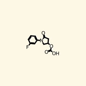 O=C(O)OC1CC(=O)N(c2cccc(F)c2)C1